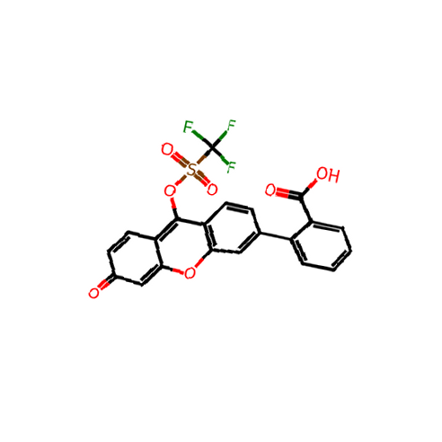 O=C(O)c1ccccc1-c1ccc2c(OS(=O)(=O)C(F)(F)F)c3ccc(=O)cc-3oc2c1